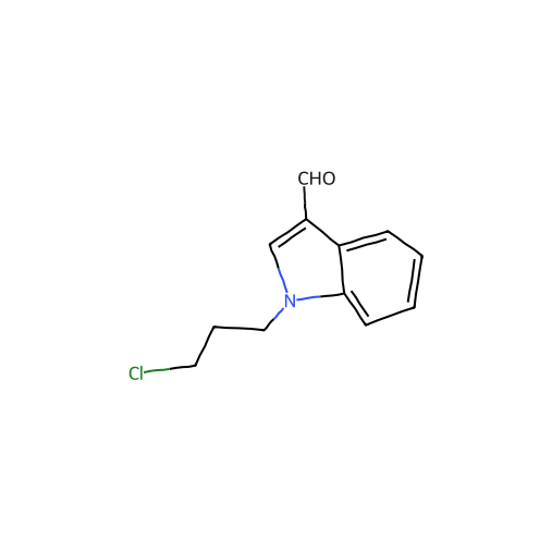 O=Cc1cn(CCCCl)c2ccccc12